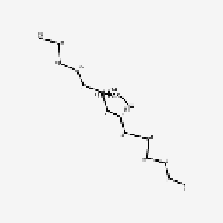 CCCCCCCCCCCCCC.CCCCCCF